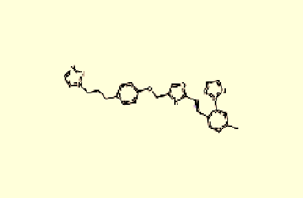 Cc1ccc(/C=C/c2nc(COc3ccc(CCCn4ccnn4)cc3)co2)c(-n2nccn2)c1